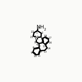 NC1CCN(CC2c3ccccc3CCc3ccccc32)CC1